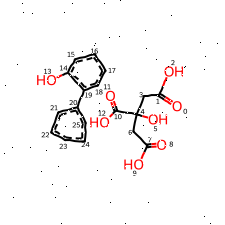 O=C(O)CC(O)(CC(=O)O)C(=O)O.Oc1ccccc1-c1ccccc1